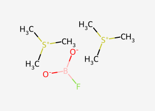 C[S+](C)C.C[S+](C)C.[O-]B([O-])F